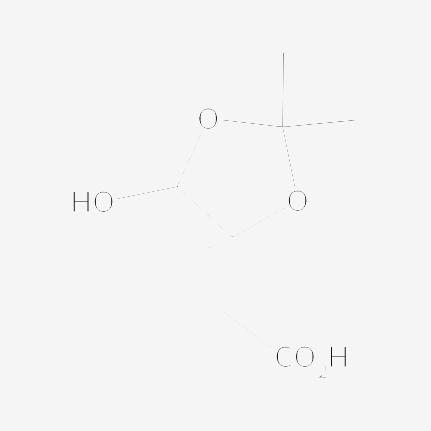 CC1(C)OC(O)[C@@H](CC(=O)O)O1